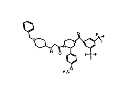 COc1ccc(C2CN(C(=O)c3cc(C(F)(F)F)cc(C(F)(F)F)c3)CCN2C(=O)CNC2CCN(Cc3ccccc3)CC2)cc1